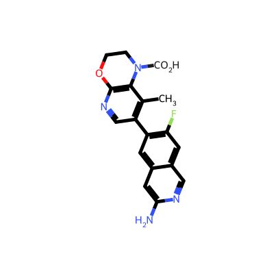 Cc1c(-c2cc3cc(N)ncc3cc2F)cnc2c1N(C(=O)O)CCO2